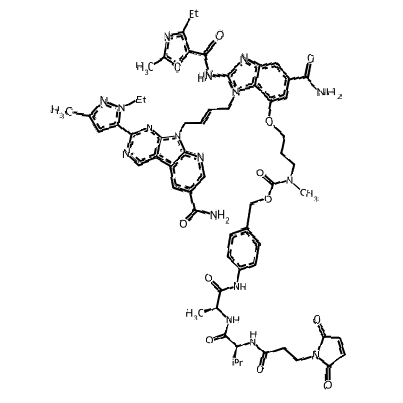 CCc1nc(C)oc1C(=O)Nc1nc2cc(C(N)=O)cc(OCCCN(C)C(=O)OCc3ccc(NC(=O)[C@H](C)NC(=O)[C@@H](NC(=O)CCN4C(=O)C=CC4=O)C(C)C)cc3)c2n1C/C=C/Cn1c2ncc(C(N)=O)cc2c2cnc(-c3cc(C)nn3CC)nc21